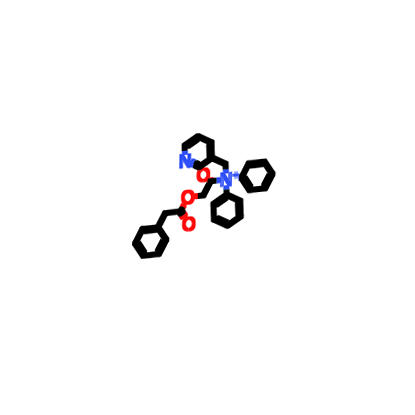 O=C(Cc1ccccc1)OCC(=O)[N+](Cc1cccnc1)(c1ccccc1)c1ccccc1